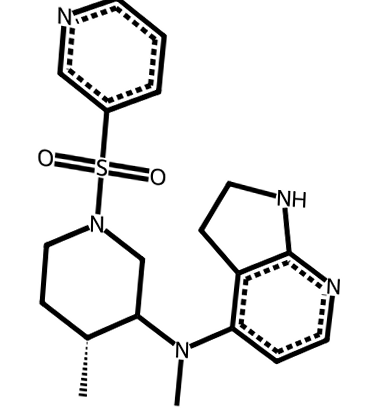 C[C@@H]1CCN(S(=O)(=O)c2cccnc2)CC1N(C)c1ccnc2c1CCN2